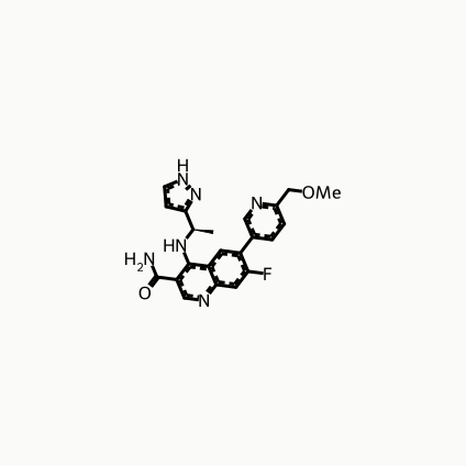 COCc1ccc(-c2cc3c(N[C@H](C)c4cc[nH]n4)c(C(N)=O)cnc3cc2F)cn1